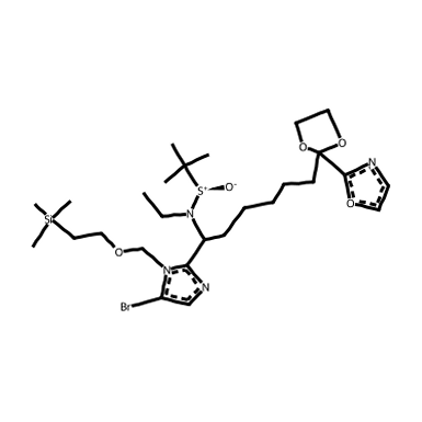 CCN(C(CCCCCC1(c2ncco2)OCCO1)c1ncc(Br)n1COCC[Si](C)(C)C)[S@+]([O-])C(C)(C)C